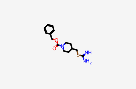 N=C(N)SCC1CCN(C(=O)OCc2ccccc2)CC1